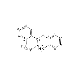 CCN(Cc1ccccc1C)c1ccccc1C